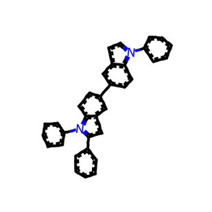 c1ccc(-c2cc3cc(-c4ccc5c(ccn5-c5ccccc5)c4)ccc3n2-c2ccccc2)cc1